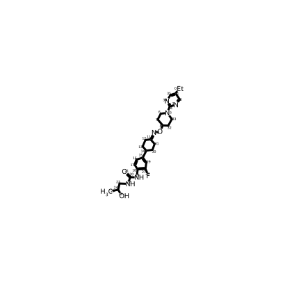 CCc1cnc(N2CCC(ON=C3CCC(c4ccc(NC(=O)NCC(C)O)c(F)c4)CC3)CC2)nc1